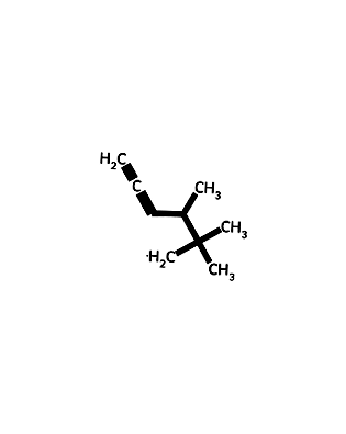 [CH2]C(C)(C)C(C)C=C=C